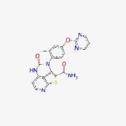 Cc1cc(Oc2ncccn2)ccc1N1C(=O)Nc2ccnc3sc(C(N)=O)c1c23